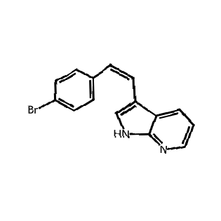 Brc1ccc(/C=C\c2c[nH]c3ncccc23)cc1